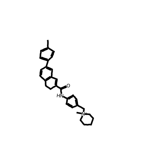 Cc1ccc(-c2ccc3c(c2)C=C(C(=O)Nc2ccc(C[N+]4(C)CCCCC4)cc2)CC3)cc1